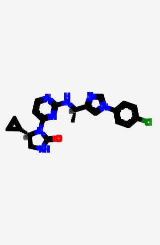 C[C@H](Nc1nccc(N2C(=O)NC[C@@H]2C2CC2)n1)c1cn(-c2ccc(Cl)cc2)cn1